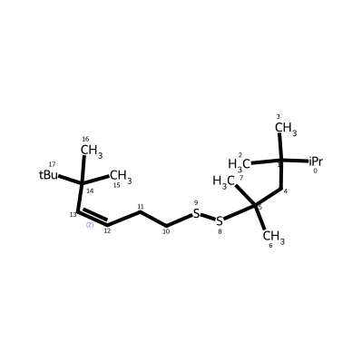 CC(C)C(C)(C)CC(C)(C)SSCC/C=C\C(C)(C)C(C)(C)C